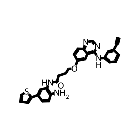 C#Cc1cccc(Nc2ncnc3ccc(OCCCC(=O)Nc4cc(-c5cccs5)ccc4N)cc23)c1